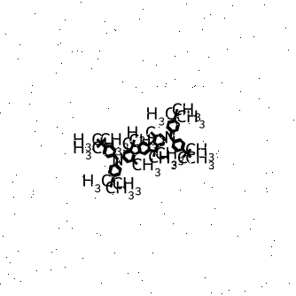 Cc1cc(N(c2ccc(C(C)(C)C)cc2)c2ccc(C(C)(C)C)cc2)cc2c1-c1cc3c(cc1C2(C)C)-c1c(C)cc(N(c2ccc(C(C)(C)C)cc2)c2ccc(C(C)(C)C)cc2)cc1C3(C)C